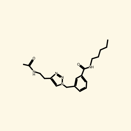 CCCCCNC(=O)c1cccc(Cn2cc(CCNC(C)=O)nn2)c1